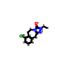 CCn1nc2n(c1=O)CCc1c(Cl)cccc1C2